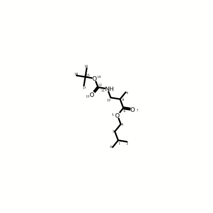 CC(C)CCOC(=O)C(C)CNC(=O)OC(C)(C)C